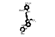 COc1cc(C(=O)O)ccc1NCC#Cc1cc2c(N[C@@H]3CCN(C(C)(C)C)C[C@@H]3F)cccc2n1CC(F)(F)F